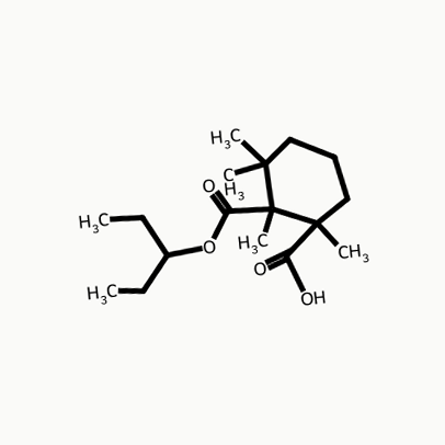 CCC(CC)OC(=O)C1(C)C(C)(C)CCCC1(C)C(=O)O